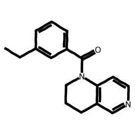 CCc1cccc(C(=O)N2CCCc3cnccc32)c1